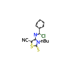 CCCCn1c(N=C(Cl)c2ccccc2)c(C#N)sc1=S